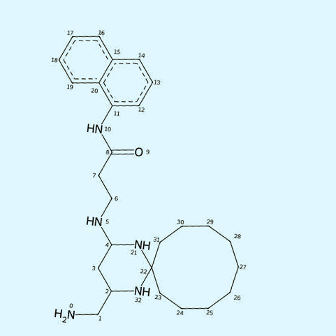 NCC1CC(NCCC(=O)Nc2cccc3ccccc23)NC2(CCCCCCCCC2)N1